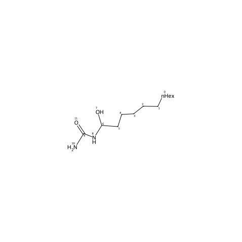 CCCCCCCCCCCC(O)NC(N)=O